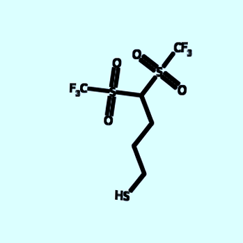 O=S(=O)(C(CCCS)S(=O)(=O)C(F)(F)F)C(F)(F)F